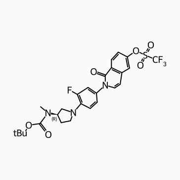 CN(C(=O)OC(C)(C)C)[C@@H]1CCN(c2ccc(-n3ccc4cc(OS(=O)(=O)C(F)(F)F)ccc4c3=O)cc2F)C1